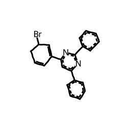 BrC1C=C(c2cc(-c3ccccc3)nc(-c3ccccc3)n2)C=CC1